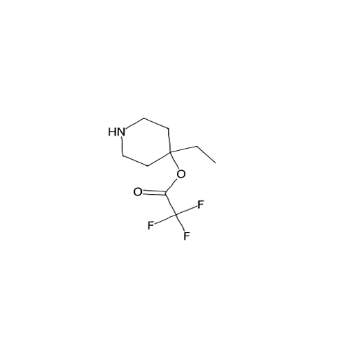 CCC1(OC(=O)C(F)(F)F)CCNCC1